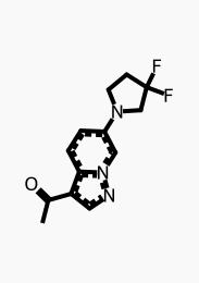 CC(=O)c1cnn2cc(N3CCC(F)(F)C3)ccc12